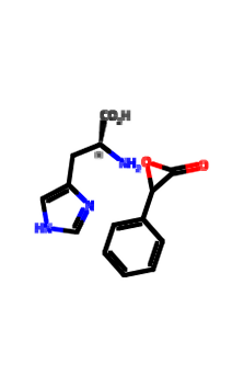 N[C@@H](Cc1c[nH]cn1)C(=O)O.O=C1OC1c1ccccc1